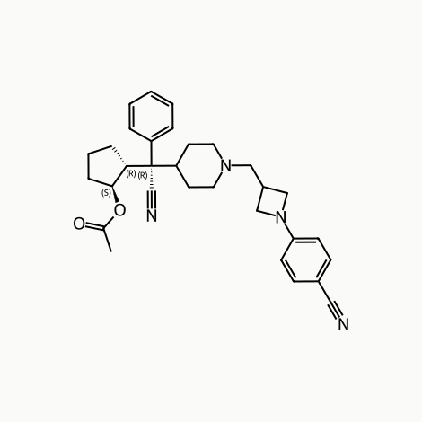 CC(=O)O[C@H]1CCC[C@@H]1[C@@](C#N)(c1ccccc1)C1CCN(CC2CN(c3ccc(C#N)cc3)C2)CC1